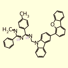 C=N/C(=N\C(=N/Cn1c2ccccc2c2cc(-c3cccc4c3oc3ccccc34)ccc21)c1ccc(C)cc1)c1ccccc1